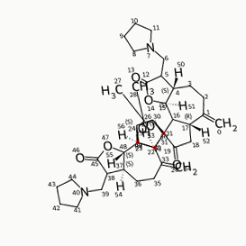 C=C1CC[C@H]2C(CN3CCCC3)C(=O)O[C@@H]2C2[C@H]1CC(=O)[C@]21CC[C@@]23OC(C)(C)O[C@]21C[C@H]1C(=C)CC[C@H]2C(CN4CCCC4)C(=O)O[C@@H]2[C@H]13